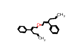 C=CCC(=CCOCC=C(CC=C)c1ccccc1)c1ccccc1